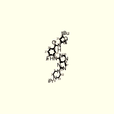 CC(C)N1CCN(c2ncc3ncnc(Nc4cc(C(=O)Nc5cc(C(C)(C)C)on5)ccc4F)c3n2)CC1